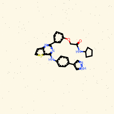 O=C(COc1cccc(-c2nc(Nc3ccc(-c4cn[nH]c4)cc3)c3sccc3n2)c1)NC1CCCC1